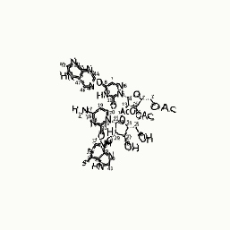 CC(=O)OC[C@H]1O[C@@H](n2ncc(=O)[nH]c2=O)[C@H](OC(C)=O)[C@@H]1OC(C)=O.Nc1ccn([C@@H]2O[C@H](CO)[C@@H](O)[C@@H]2O)c(=O)n1.S=c1nc[nH]c2nc[nH]c12.c1ncc2[nH]cnc2n1